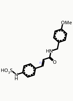 COc1ccc(CNC(=O)/C=C/c2ccc(NS(=O)(=O)O)cc2)cc1